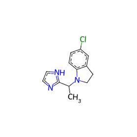 CC(c1ncc[nH]1)N1CCc2cc(Cl)ccc21